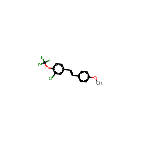 COc1ccc(/C=C/c2ccc(OC(F)(F)F)c(Cl)c2)cc1